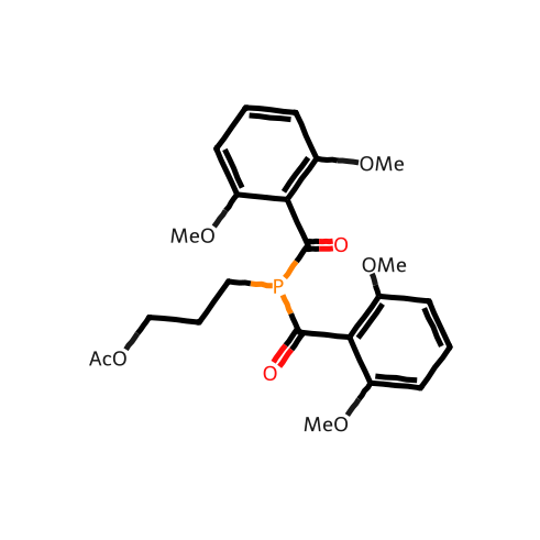 COc1cccc(OC)c1C(=O)P(CCCOC(C)=O)C(=O)c1c(OC)cccc1OC